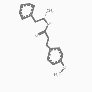 COc1ccc(CCC(=O)N[C@@H](C)Cc2ccccc2)cc1